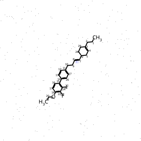 CCCC1=CCC(/C=C/CCc2ccc(-c3ccc(OCC)c(F)c3F)cc2)CC1